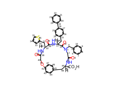 O=C1CN(Cc2ccccc2)C(=O)[C@@H](Cc2ccc(-c3ccccc3)cc2)NC(=O)[C@H](Cc2cccs2)NC(=O)COc2ccc(cc2)C[C@@H](C(=O)O)N1